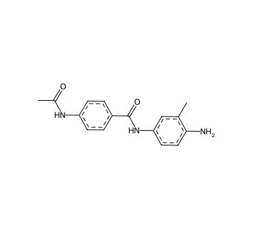 CC(=O)Nc1ccc(C(=O)Nc2ccc(N)c(C)c2)cc1